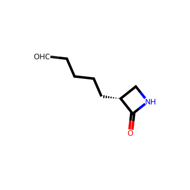 O=CCCCC[C@@H]1CNC1=O